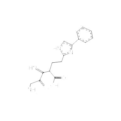 N=C(C(=O)CN)C(CCc1nc(-c2ccccc2)c[nH]1)C(=O)O